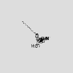 CCCCCCCCCCCCCCCCOC[C@H](COP(=O)(O)OCC[N+](C)(C)C)OC(=O)CCCC(=O)O